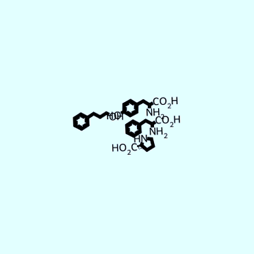 NC(Cc1ccc(O)cc1)C(=O)O.NC(Cc1ccccc1)C(=O)O.O=C(O)[C@@H]1CCCN1.OCCCc1ccccc1